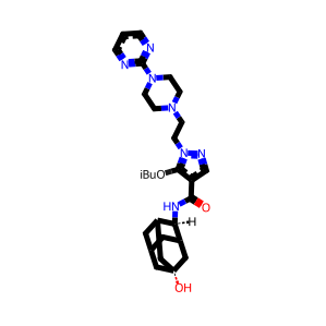 CC(C)COc1c(C(=O)N[C@H]2C3CC4CC2C[C@](O)(C4)C3)cnn1CCN1CCN(c2ncccn2)CC1